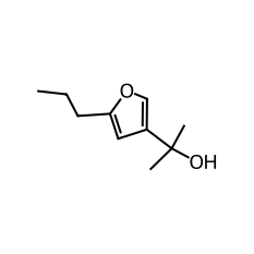 CCCc1cc(C(C)(C)O)co1